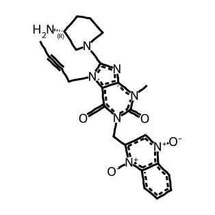 CC#CCn1c(N2CCC[C@@H](N)C2)nc2c1c(=O)n(Cc1c[n+]([O-])c3ccccc3[n+]1[O-])c(=O)n2C